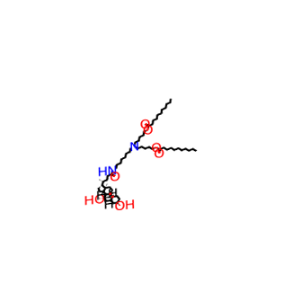 CCCCCCCCCCC(=O)OCCCCCN(CCCCCCCCNC(=O)CC[C@@H](C)[C@H]1CC[C@H]2[C@@H]3[C@@H](O)C[C@@H]4C[C@H](O)CC[C@]4(C)[C@H]3CC[C@]12C)CCCCCOC(=O)CCCCCCCCCC